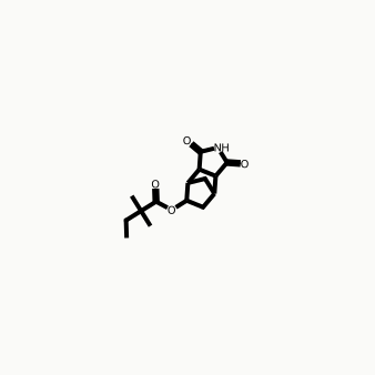 CCC(C)(C)C(=O)OC1CC2CC1C1C(=O)NC(=O)C21